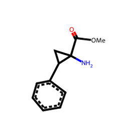 COC(=O)C1(N)CC1c1ccccc1